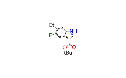 CCc1cc2[nH]cc(C(=O)OC(C)(C)C)c2cc1F